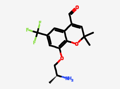 C[C@@H](N)COc1cc(C(F)(F)F)cc2c1OC(C)(C)C=C2C=O